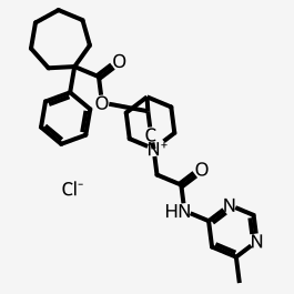 Cc1cc(NC(=O)C[N+]23CCC(CC2)C(OC(=O)C2(c4ccccc4)CCCCCC2)C3)ncn1.[Cl-]